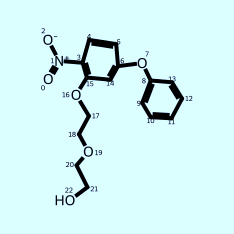 O=[N+]([O-])c1ccc(Oc2ccccc2)cc1OCCOCCO